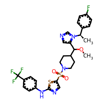 COC(c1cncn1[C@H](C)c1ccc(F)cc1)C1CCN(S(=O)(=O)c2cnc(Nc3ccc(C(F)(F)F)cc3)s2)CC1